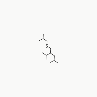 CC(C)CSCC(CC(C)C)C(C)C